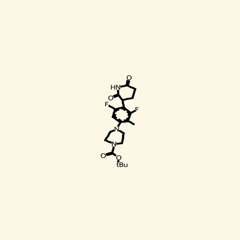 Cc1c(N2CCN(C(=O)OC(C)(C)C)CC2)cc(F)c(C2CCC(=O)NC2=O)c1F